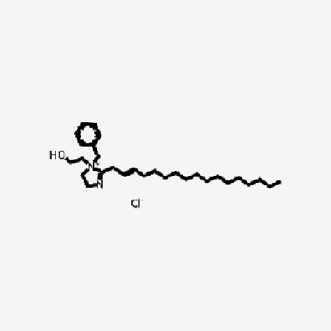 CCCCCCCCCCCCCCC=CCC1=NCC[N+]1(CCO)Cc1ccccc1.[Cl-]